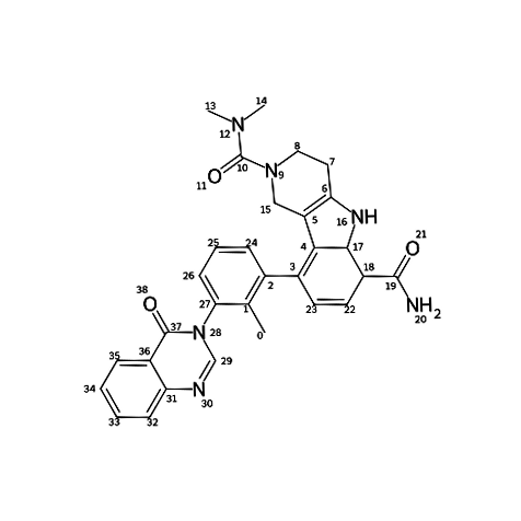 Cc1c(C2=C3C4=C(CCN(C(=O)N(C)C)C4)NC3C(C(N)=O)C=C2)cccc1-n1cnc2ccccc2c1=O